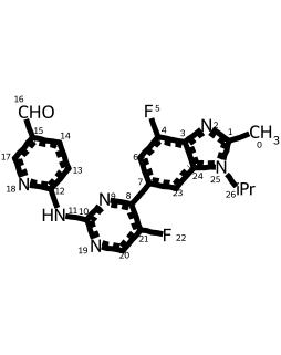 Cc1nc2c(F)cc(-c3nc(Nc4ccc(C=O)cn4)ncc3F)cc2n1C(C)C